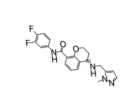 Cn1nccc1CN[C@H]1CCOc2c(C(=O)Nc3ccc(F)c(F)c3)cccc21